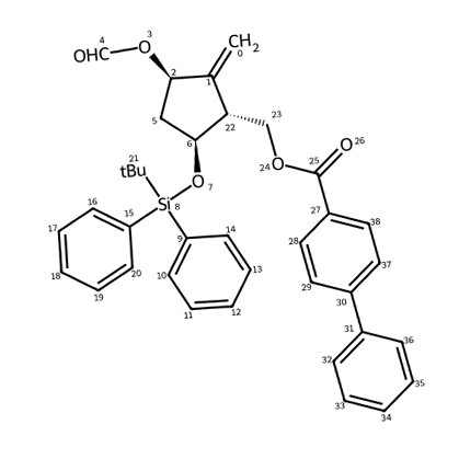 C=C1[C@H](OC=O)C[C@H](O[Si](c2ccccc2)(c2ccccc2)C(C)(C)C)[C@H]1COC(=O)c1ccc(-c2ccccc2)cc1